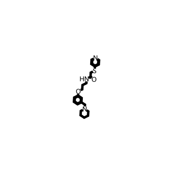 O=C(CSc1ccncc1)NCCCOc1cccc(CN2CCCCC2)c1